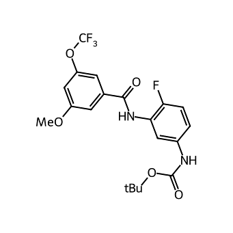 COc1cc(OC(F)(F)F)cc(C(=O)Nc2cc(NC(=O)OC(C)(C)C)ccc2F)c1